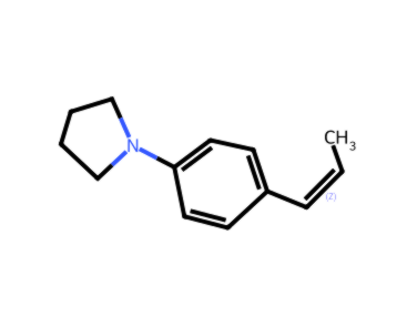 C/C=C\c1ccc(N2CCCC2)cc1